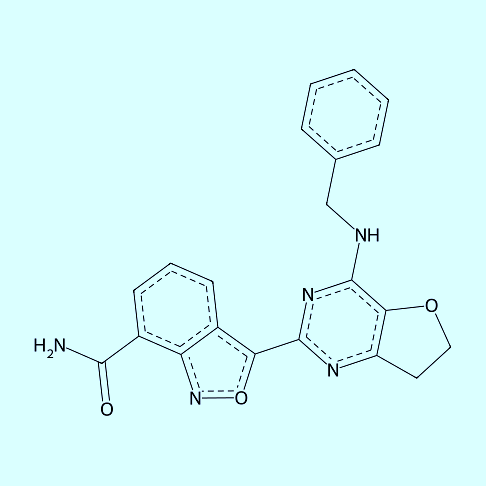 NC(=O)c1cccc2c(-c3nc4c(c(NCc5ccccc5)n3)OCC4)onc12